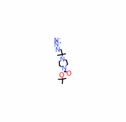 CC(C)(C)OC(=O)N1CCN(C(C)(C)CN=[N+]=[N-])CC1